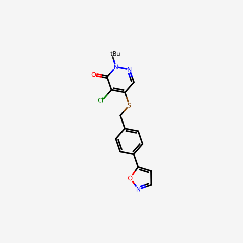 CC(C)(C)n1ncc(SCc2ccc(-c3ccno3)cc2)c(Cl)c1=O